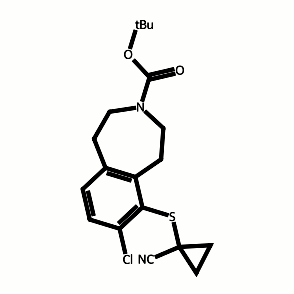 CC(C)(C)OC(=O)N1CCc2ccc(Cl)c(SC3(C#N)CC3)c2CC1